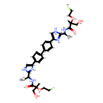 CC(CO)(OCCF)C(=O)NC(c1nc(-c2ccc(-c3ccc(-c4c[nH]c(C(NC(=O)C(C)(CO)OCCF)C(C)(C)C)n4)cc3)cc2)c[nH]1)C(C)(C)C